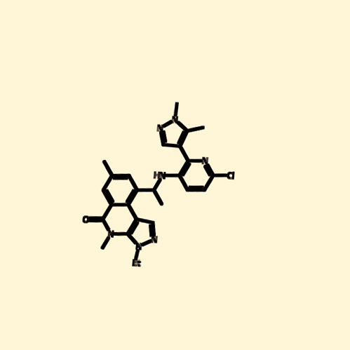 CCn1ncc2c3c(C(C)Nc4ccc(Cl)nc4-c4cnn(C)c4C)cc(C)cc3c(=O)n(C)c21